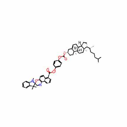 CC(C)CCC[C@@H](C)[C@H]1CC[C@H]2[C@@H]3CC=C4C[C@@H](OC(=O)Oc5ccc(OC(=O)c6cccc7c8c(ccc67)OC6(C=N8)N(C)c7ccccc7C6(C)C)cc5)CC[C@]4(C)[C@H]3CC[C@]12C